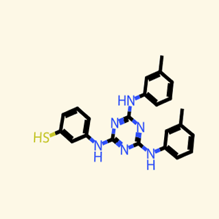 Cc1cccc(Nc2nc(Nc3cccc(C)c3)nc(Nc3cccc(S)c3)n2)c1